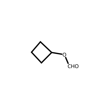 O=COC1CCC1